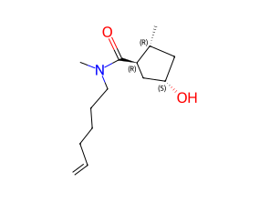 C=CCCCCN(C)C(=O)[C@@H]1C[C@@H](O)C[C@H]1C